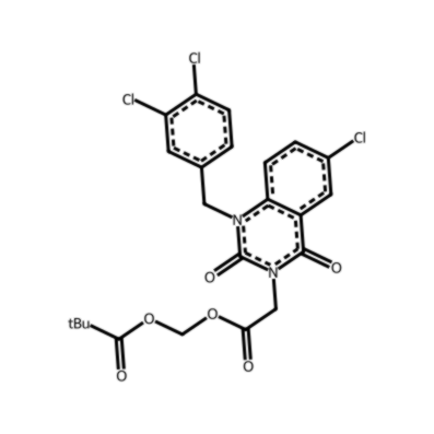 CC(C)(C)C(=O)OCOC(=O)Cn1c(=O)c2cc(Cl)ccc2n(Cc2ccc(Cl)c(Cl)c2)c1=O